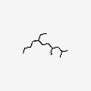 CCCCC(CC)CCC([O])CC(C)C